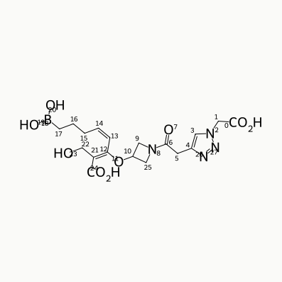 O=C(O)Cn1cc(CC(=O)N2CC(OC(/C=C\CCCB(O)O)=C(/CO)C(=O)O)C2)nn1